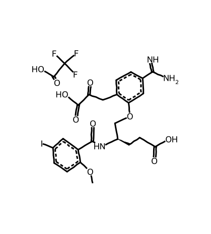 COc1ccc(I)cc1C(=O)N[C@H](CCC(=O)O)COc1cc(C(=N)N)ccc1CC(=O)C(=O)O.O=C(O)C(F)(F)F